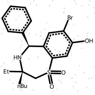 CCCC[C@]1(CC)CS(=O)(=O)c2cc(O)c(Br)cc2[C@H](c2ccccc2)N1